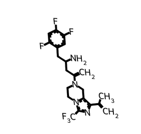 C=C(C)c1nc(C(F)(F)F)n2c1CN(C(=C)CC(N)Cc1cc(F)c(F)cc1F)CC2